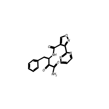 NC(=O)C(=O)C(Cc1ccccc1)NC(=O)c1conc1-c1ncccn1